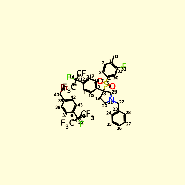 Cc1ccc(S(=O)(=O)C2(c3ccc(C(F)(C(F)(F)F)C(F)(F)F)cc3)CCN(Cc3ccccc3)C2)cc1F.FC(F)(F)C(F)(c1ccc(CBr)cc1)C(F)(F)F